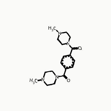 CN1CCN(C(=O)c2ccc(C(=O)N3CCN(C)CC3)cc2)CC1